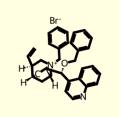 C=C[C@H]1C[N+]2(Cc3ccccc3)CC[C@H]1C[C@H]2[C@H](OCc1ccccc1)c1ccnc2ccccc12.[Br-]